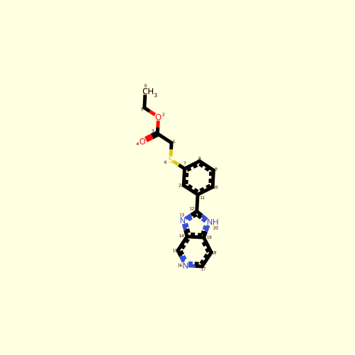 CCOC(=O)CSc1cccc(-c2nc3cnccc3[nH]2)c1